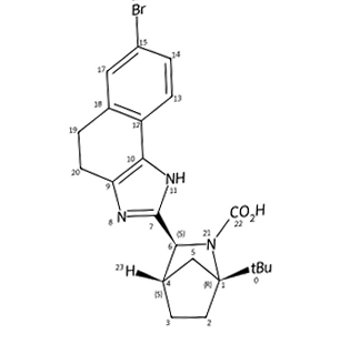 CC(C)(C)[C@@]12CC[C@@H](C1)[C@@H](c1nc3c([nH]1)-c1ccc(Br)cc1CC3)N2C(=O)O